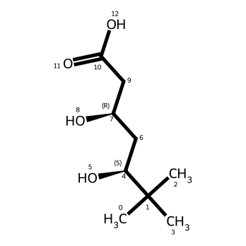 CC(C)(C)[C@@H](O)C[C@@H](O)CC(=O)O